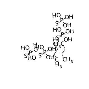 CCCC.CCCC.OP(O)(O)=S.OP(O)(O)=S.OP(O)(O)=S.OP(O)(O)=S